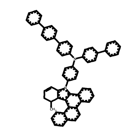 CC1CC=Cc2c1c1c3c4ccccc4ccc3c3ccccc3c1n2-c1ccc(N(c2ccc(-c3ccccc3)cc2)c2ccc(-c3ccc(-c4ccccc4)cc3)cc2)cc1